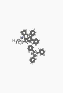 C=N/C=N\c1c(C)sc2c1c1c(c3ccccc3n1-c1ccccc1)c1c3ccccc3n(-c3cccc(-c4nc(-c5ccccc5)nc(-c5ccccc5)n4)c3)c21